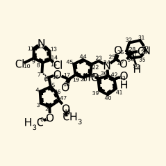 COc1ccc([C@H](Cc2c(Cl)cncc2Cl)OC(=O)c2ccc(CN(C(=O)O[C@H]3CN4CCC3CC4)c3c(O)cccc3O)cc2)cc1OC